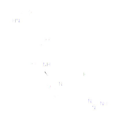 CC(=O)Nc1ccc(C(=O)CCC(=O)NC[C@H]2CN(c3ccc(-c4cccc5[nH]nnc45)c(F)c3)C(=O)O2)cc1